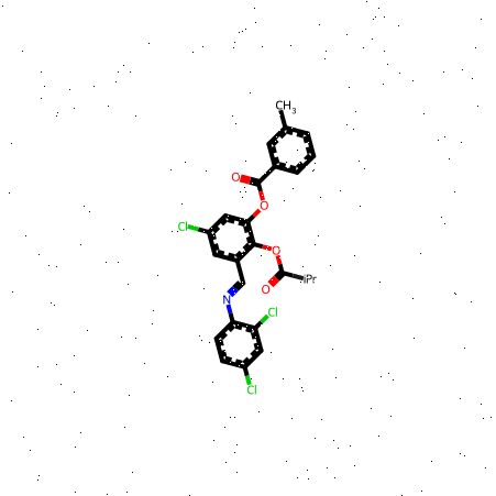 Cc1cccc(C(=O)Oc2cc(Cl)cc(C=Nc3ccc(Cl)cc3Cl)c2OC(=O)C(C)C)c1